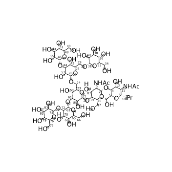 CC(=O)NC1[C@H](O[C@@H]2C(CO)O[C@@H](C(C)C)C(NC(C)=O)[C@H]2O)OC(CO)[C@@H](O[C@@H]2OC(CO[C@@H]3OC(CO[C@H]4OC(CO)[C@@H](O)[C@H](O)C4O)[C@@H](O)[C@H](O[C@H]4OC(CO)[C@@H](O)C(O)C4O)C3O)[C@@H](O)[C@H](O[C@H]3OC(CO)[C@@H](O)C(O)C3O[C@H]3OC(CO)[C@@H](O)C(O)C3O)C2O)[C@@H]1O